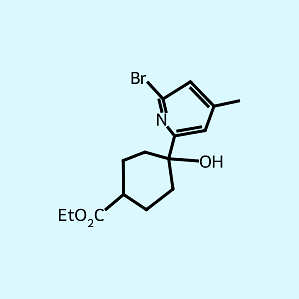 CCOC(=O)C1CCC(O)(c2cc(C)cc(Br)n2)CC1